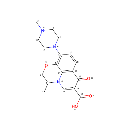 CC1COc2c(N3CCN(C)CC3)ccc3c(=O)c(C(=O)O)cn1c23